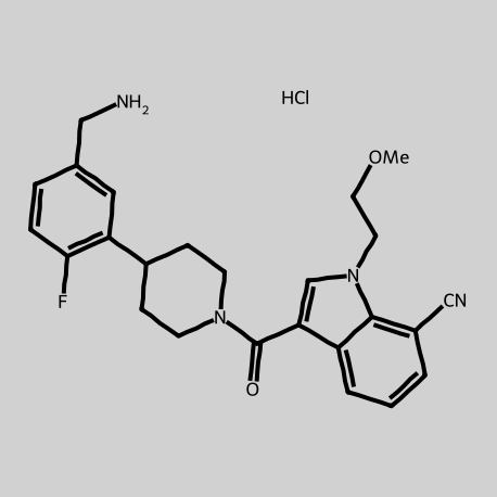 COCCn1cc(C(=O)N2CCC(c3cc(CN)ccc3F)CC2)c2cccc(C#N)c21.Cl